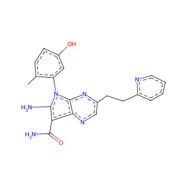 Cc1ccc(O)cc1-n1c(N)c(C(N)=O)c2ncc(CCc3ccccn3)nc21